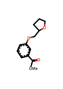 COC(=O)c1cccc(OCC2CCCO2)c1